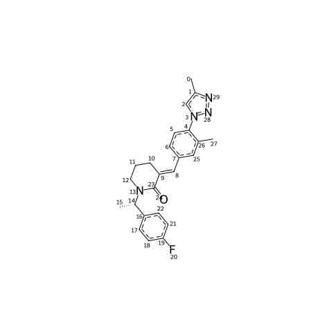 Cc1cn(-c2ccc(/C=C3\CCCN([C@@H](C)c4ccc(F)cc4)C3=O)cc2C)nn1